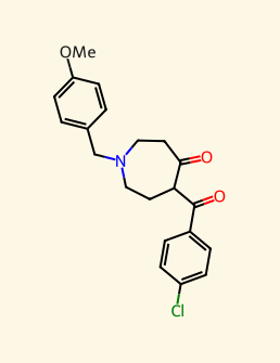 COc1ccc(CN2CCC(=O)C(C(=O)c3ccc(Cl)cc3)CC2)cc1